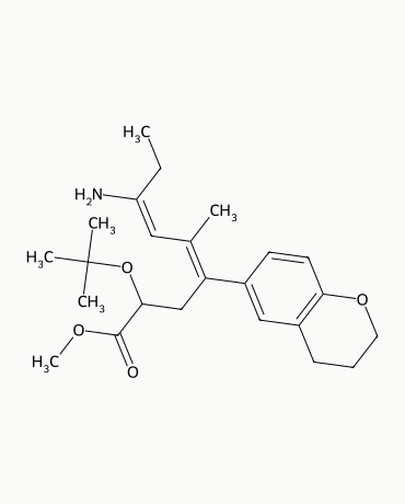 CC/C(N)=C\C(C)=C(/CC(OC(C)(C)C)C(=O)OC)c1ccc2c(c1)CCCO2